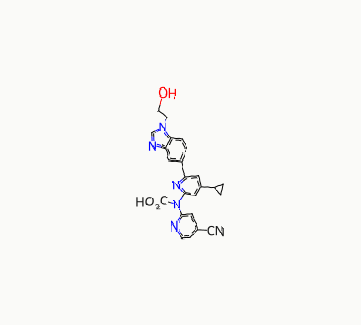 N#Cc1ccnc(N(C(=O)O)c2cc(C3CC3)cc(-c3ccc4c(c3)ncn4CCO)n2)c1